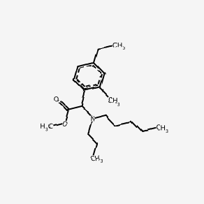 CCCCCN(CCC)C(C(=O)OC)c1ccc(CC)cc1C